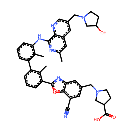 Cc1cc2cc(CN3CCC(O)C3)cnc2c(Nc2cccc(-c3cccc(-c4nc5cc(CN6CCC(C(=O)O)C6)cc(C#N)c5o4)c3C)c2C)n1